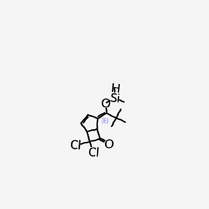 C[SiH](C)O/C(=C1\C=CC2C1C(=O)C2(Cl)Cl)C(C)(C)C